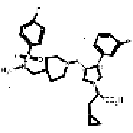 CN(CC1CCN(C[C@H]2CN([C@H](CC3CC3)C(=O)O)C[C@@H]2c2cccc(F)c2)CC1)S(=O)(=O)c1ccc(F)cc1